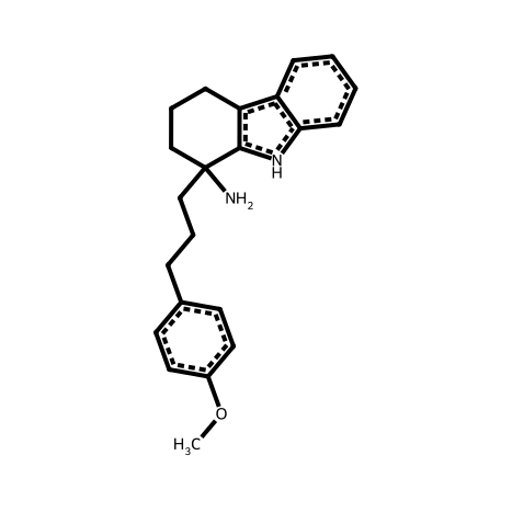 COc1ccc(CCCC2(N)CCCc3c2[nH]c2ccccc32)cc1